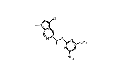 CSc1cc(N)nc(SC(C)c2cc3c(Cl)cn(C)c3cn2)n1